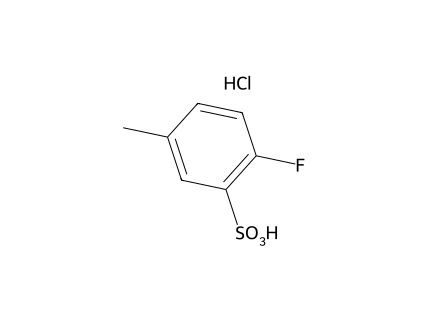 Cc1ccc(F)c(S(=O)(=O)O)c1.Cl